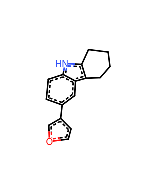 c1cc(-c2ccc3[nH]c4c(c3c2)CCCC4)co1